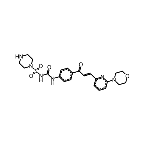 O=C(Nc1ccc(C(=O)/C=C/c2cccc(N3CCOCC3)n2)cc1)NS(=O)(=O)N1CCNCC1